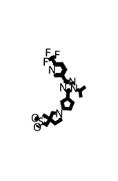 CC(C)n1nc(-c2ccc(C(F)(F)F)nc2)nc1C1CCC(N2CCC3(C2)CS(=O)(=O)C3)C1